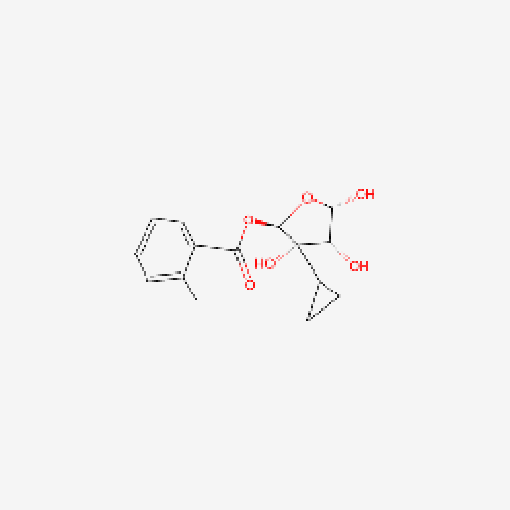 Cc1ccccc1C(=O)O[C@H]1O[C@H](O)[C@H](O)[C@@]1(O)C1CC1